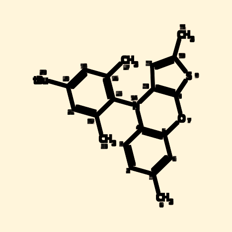 Cc1ccc2c(c1)Oc1sc(C)cc1N2c1c(C)cc(C(C)(C)C)cc1C